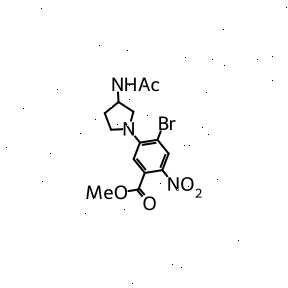 COC(=O)c1cc(N2CCC(NC(C)=O)C2)c(Br)cc1[N+](=O)[O-]